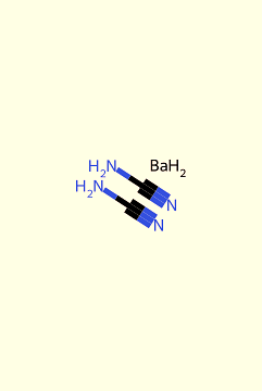 N#CN.N#CN.[BaH2]